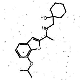 CC(C)Oc1cccc2cc(C(C)NCC3(O)CCCCC3)oc12